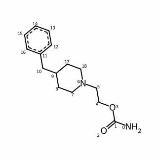 NC(=O)OCCN1CCC(Cc2ccccc2)CC1